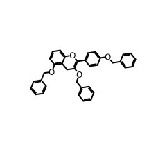 c1ccc(COC2=C(c3ccc(OCc4ccccc4)cc3)Oc3cccc(OCc4ccccc4)c3C2)cc1